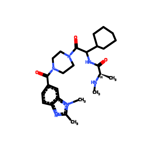 CN[C@@H](C)C(=O)NC(C(=O)N1CCN(C(=O)c2ccc3nc(C)n(C)c3c2)CC1)C1CCCCC1